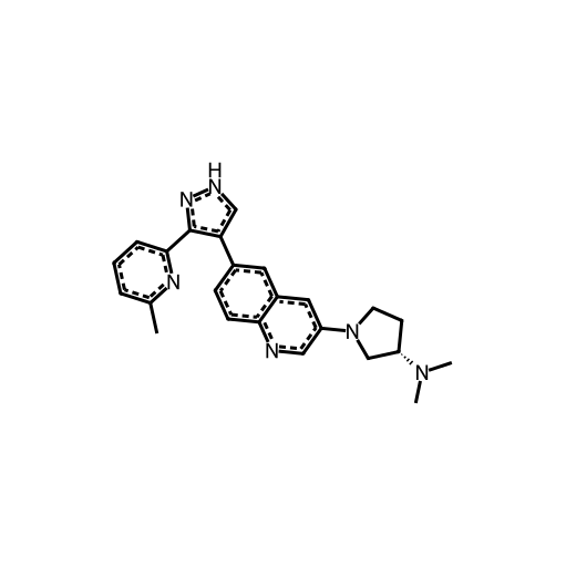 Cc1cccc(-c2n[nH]cc2-c2ccc3ncc(N4CC[C@H](N(C)C)C4)cc3c2)n1